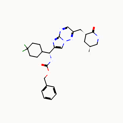 O=C(N[C@H](c1cn2nc(C[C@@H]3C[C@H](C(F)(F)F)CNC3=O)cnc2n1)C1CCC(F)(F)CC1)OCc1ccccc1